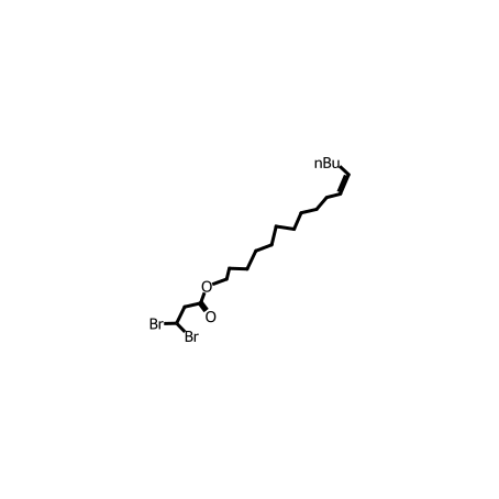 CCCC/C=C\CCCCCCCCCCOC(=O)CC(Br)Br